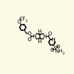 NS(=O)(=O)c1ccc(C(=O)N2C[C@H]3CN(C(=O)OCc4ccc(OC(F)(F)F)cc4)C[C@@H]3C2)nc1